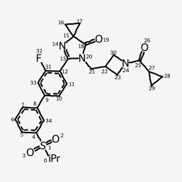 CC(C)S(=O)(=O)c1cccc(-c2ccc(C3=NC4(CC4)C(=O)N3CC3CN(C(=O)C4CC4)C3)c(F)c2)c1